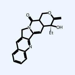 C=C1OCC2C(=O)N3Cc4cc5ccccc5nc4C3=CC2[C@@]1(O)CC